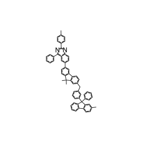 Cc1ccc(-c2nc(-c3ccccc3)c3cc(-c4ccc5c(c4)-c4ccc(Cc6cccc(C7(c8ccccc8)c8ccccc8-c8ccc(C)cc87)c6)cc4C5(C)C)ccc3n2)cc1